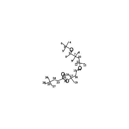 CC(OC(C)(C)C)C(C)(C)CC(C)(C)OCCC(C)(C)OC(=O)CCC(C)(C)C